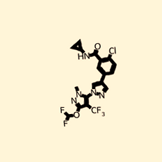 Cn1nc(OC(F)F)c(C(F)(F)F)c1-n1cc(-c2ccc(Cl)c(C(=O)NC3CC3)c2)cn1